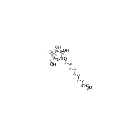 C1CO1.CCCCCCCCCO[C@@H]1O[C@H](CO)[C@@H](O)[C@H](O)[C@H]1O